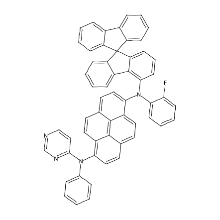 Fc1ccccc1N(c1cccc2c1-c1ccccc1C21c2ccccc2-c2ccccc21)c1ccc2ccc3c(N(c4ccccc4)c4ccncn4)ccc4ccc1c2c43